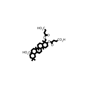 CC1(C)CCC2(C(=O)O)CCC3(C)C(=CCC4C5(C)CCC(OC(=O)CCC(=O)O)C(C)(COC(=O)CCC(=O)O)C5CCC43C)C2C1